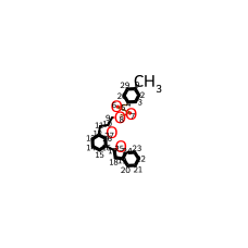 Cc1ccc(S(=O)(=O)OCC2Cc3cccc(-c4cc5ccccc5o4)c3O2)cc1